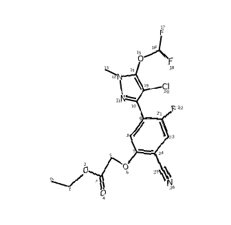 CCOC(=O)COc1cc(-c2nn(C)c(OC(F)F)c2Cl)c(F)cc1C#N